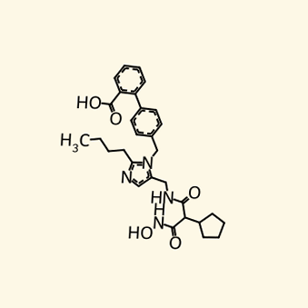 CCCCc1ncc(CNC(=O)C(C(=O)NO)C2CCCC2)n1Cc1ccc(-c2ccccc2C(=O)O)cc1